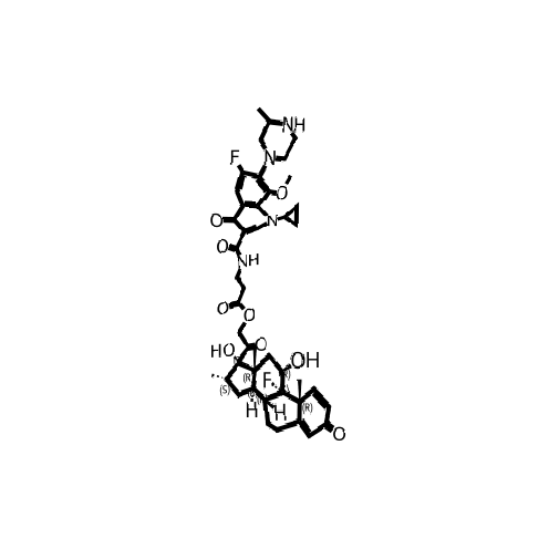 COc1c(N2CCNC(C)C2)c(F)cc2c(=O)c(C(=O)NCCC(=O)OCC(=O)[C@]3(O)[C@@H](C)C[C@@H]4[C@H]5CCC6=CC(=O)C=C[C@@]6(C)[C@]5(F)[C@H](O)C[C@]43C)cn(C3CC3)c12